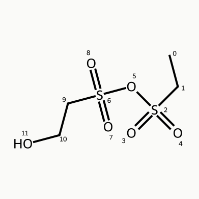 CCS(=O)(=O)OS(=O)(=O)CCO